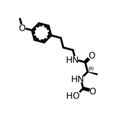 COc1ccc(CCCNC(=O)[C@@H](C)NC(=O)O)cc1